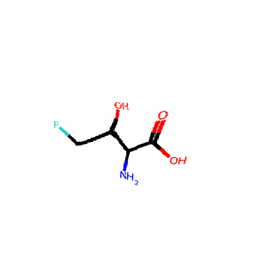 NC(C(=O)O)C(O)CF